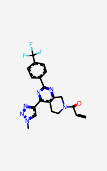 C=CC(=O)N1CCc2c(nc(-c3ccc(C(F)(F)F)cc3)nc2-c2cn(C)nn2)C1